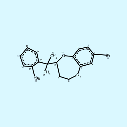 CC(C)c1ccc2c(c1)OCCC(C(C)(C)c1ccccc1C(C)(C)C)O2